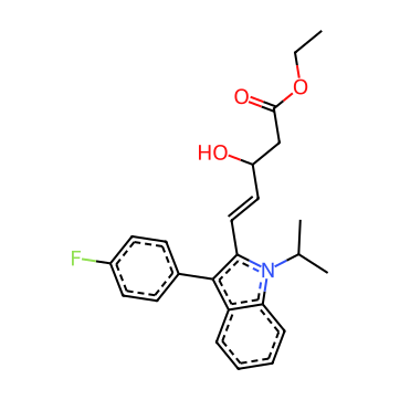 CCOC(=O)CC(O)C=Cc1c(-c2ccc(F)cc2)c2ccccc2n1C(C)C